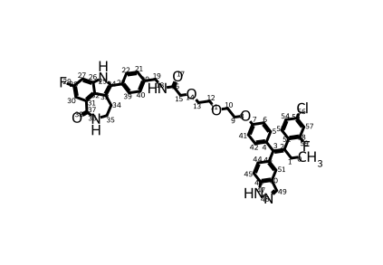 CC/C(=C(/c1ccc(OCCOCCOCC(=O)NCc2ccc(-c3[nH]c4cc(F)cc5c4c3CCNC5=O)cc2)cc1)c1ccc2[nH]ncc2c1)c1ccc(Cl)cc1F